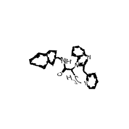 CC(C(=O)Nc1ccc2ccccc2c1)n1c(-c2ccccn2)nc2ccccc21